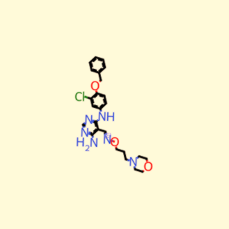 Nc1ncnc(Nc2ccc(OCc3ccccc3)c(Cl)c2)c1/C=N/OCCCN1CCOCC1